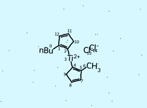 CCCCC1=[C]([Ti+2][C]2=C(C)C=CC2)CC=C1.[Cl-].[Cl-]